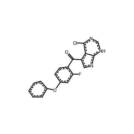 O=C(c1ccc(Oc2ccccc2)cc1F)c1cnc2[nH]cnc(Cl)c1-2